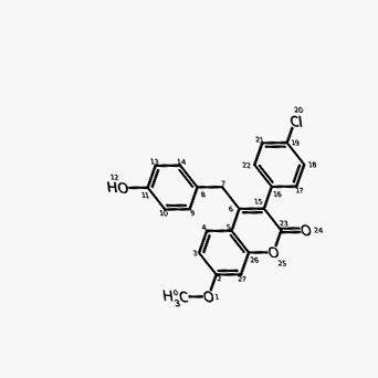 COc1ccc2c(Cc3ccc(O)cc3)c(-c3ccc(Cl)cc3)c(=O)oc2c1